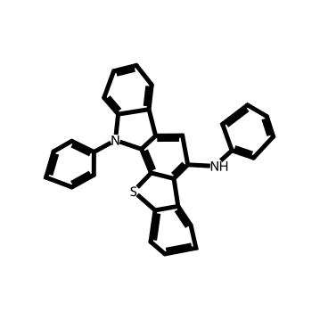 c1ccc(Nc2cc3c4ccccc4n(-c4ccccc4)c3c3sc4ccccc4c23)cc1